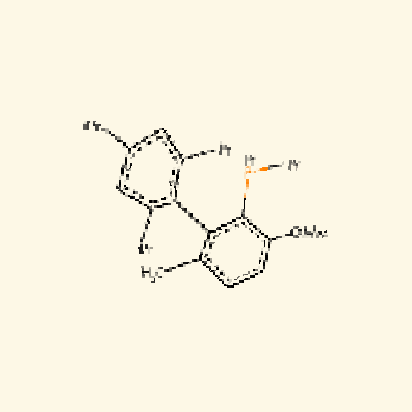 COc1ccc(C)c(-c2c(C(C)C)cc(C(C)C)cc2C(C)C)c1P(C(C)C)C(C)C